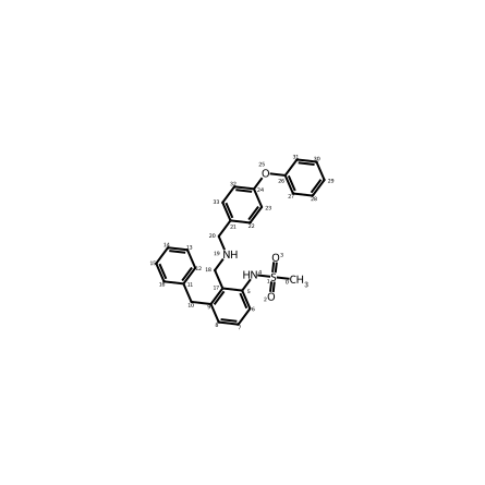 CS(=O)(=O)Nc1cccc(Cc2ccccc2)c1CNCc1ccc(Oc2ccccc2)cc1